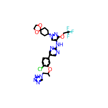 CC(Cn1cnnn1)Oc1cc(-c2cnc(Nc3cn(C4CCC5(CC4)OCCO5)nc3OCC(F)(F)F)nc2)ccc1Cl